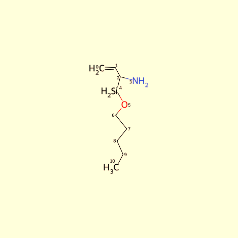 C=CC(N)[SiH2]OCCCCC